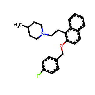 CC1CCN(CCc2c(OCc3ccc(F)cc3)ccc3ccccc23)CC1